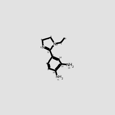 CCN1CCN=C1c1ccc(N)c(N)c1